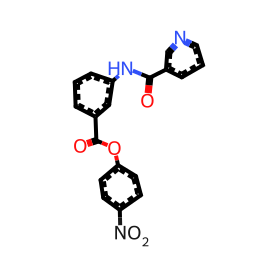 O=C(Nc1cccc(C(=O)Oc2ccc([N+](=O)[O-])cc2)c1)c1cccnc1